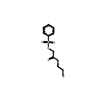 O=C(CCCCl)COS(=O)(=O)c1ccccc1